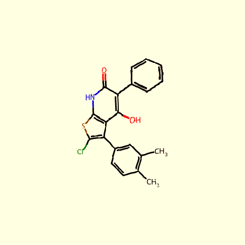 Cc1ccc(-c2c(Cl)sc3[nH]c(=O)c(-c4ccccc4)c(O)c23)cc1C